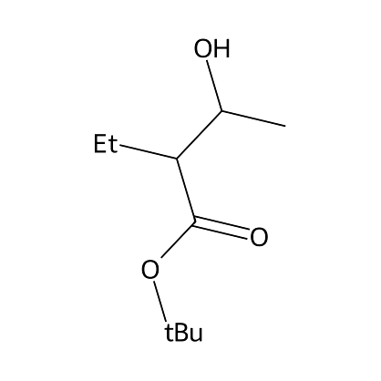 CCC(C(=O)OC(C)(C)C)C(C)O